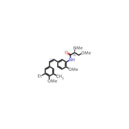 CCc1cc(/C=C\c2ccc(OC)c(NC(=O)[C@H](COC)NC)c2)cc(C)c1OC